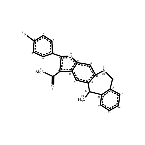 CNC(=O)c1c(-c2ccc(F)cc2)oc2cc3c(cc12)C(C)c1ccccc1CN3